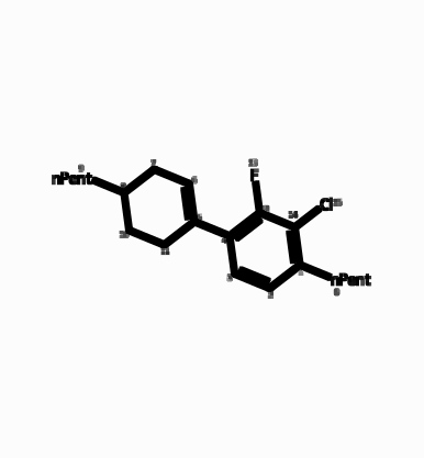 CCCCCc1ccc(C2=CCC(CCCCC)CC2)c(F)c1Cl